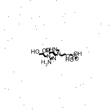 Nc1nc2c(c(=O)n1CC(O)CO)NCN2CCOCP(=O)(O)O